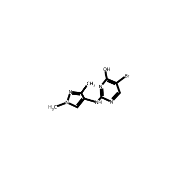 Cc1nn(C)cc1Nc1ncc(Br)c(O)n1